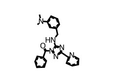 CN(C)c1cccc(CNc2nc(-c3ccccn3)nn2C(=O)c2ccccc2)c1